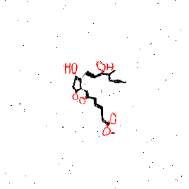 CC#CCC(C)[C@H](O)C=C[C@H]1[C@H](O)CC(=O)[C@@H]1CC(=O)CCCCC(=O)OC